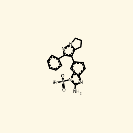 CC(C)S(=O)(=O)n1c(N)nc2ccc(-c3c(-c4ccccc4)nn4c3CCC4)cc21